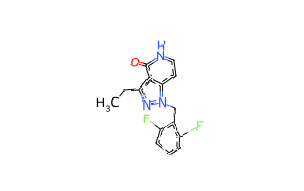 CCc1nn(Cc2c(F)cccc2F)c2cc[nH]c(=O)c12